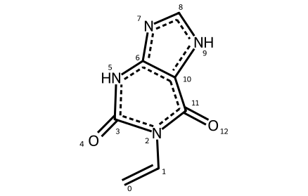 C=Cn1c(=O)[nH]c2nc[nH]c2c1=O